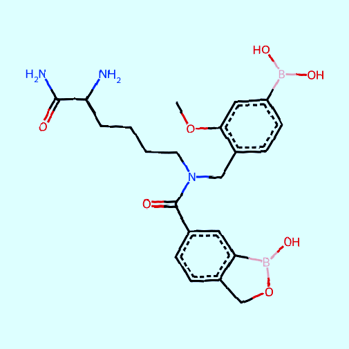 COc1cc(B(O)O)ccc1CN(CCCCC(N)C(N)=O)C(=O)c1ccc2c(c1)B(O)OC2